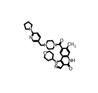 Cc1cc2[nH]c(=O)c3cnn(C4CCOCC4)c3c2cc1C(=O)N1CCN(Cc2ccc(N3CCCC3)nc2)CC1